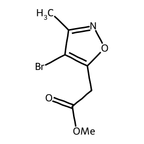 COC(=O)Cc1onc(C)c1Br